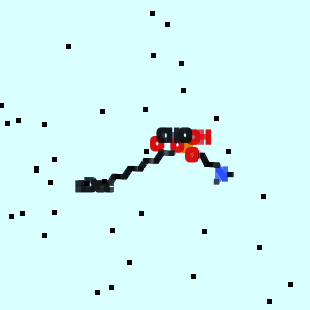 CCCCCCCCCCCCCCCCC(COP(O)OCCCN(C)C)OC=O